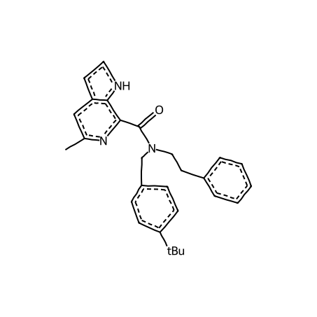 Cc1cc2cc[nH]c2c(C(=O)N(CCc2ccccc2)Cc2ccc(C(C)(C)C)cc2)n1